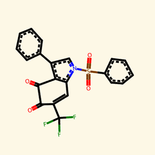 O=C1C(=O)c2c(-c3ccccc3)cn(S(=O)(=O)c3ccccc3)c2C=C1C(F)(F)F